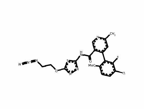 COc1ccc(Cl)c(F)c1-c1cc(C)ncc1C(=O)Nc1nnc(OCCN=[N+]=[N-])s1